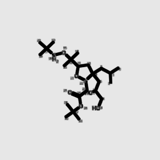 CC(C)CC1(CC(O)CO)CC(C(C)(C)O[SiH2]C(C)(C)C)ON1CC(=O)OC(C)(C)C